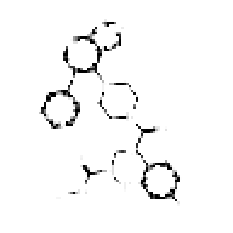 CC(C)N(C[C@@H](C(=O)N1CCN(c2c(-c3ccccc3)cnc3[nH]ncc23)CC1)c1ccc(Cl)cc1)C(=O)OC(C)(C)C